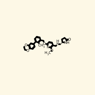 COc1nc(OCc2cccc(-c3ccc4c(c3)OCCO4)c2C)ccc1CNC[C@@H]1CCC(=O)N1